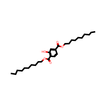 CCCCCCCCCCOC(=O)c1ccc(C(=O)OCCCCCCCCCC)c(O)c1